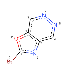 Brc1nc2cnncc2o1